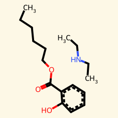 CCCCCCOC(=O)c1ccccc1O.CCNCC